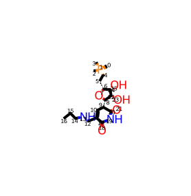 C=P(C)(C)CC[C@H]1O[C@@H](C2C=C(CNCCC)C(=O)NC2=O)[C@H](O)[C@@H]1O